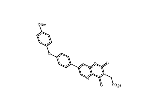 COc1ccc(Oc2ccc(-c3cnc4c(=O)n(CC(=O)O)c(=O)oc4c3)cc2)cc1